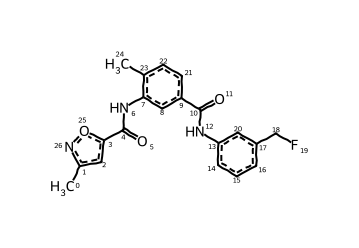 Cc1cc(C(=O)Nc2cc(C(=O)Nc3cccc(CF)c3)ccc2C)on1